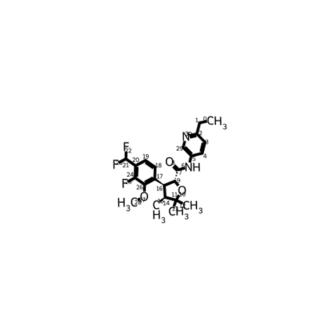 CCc1ccc(NC(=O)[C@@H]2OC(C)(C)[C@@H](C)[C@H]2c2ccc(C(F)F)c(F)c2OC)cn1